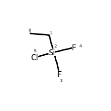 CC[Si](F)(F)Cl